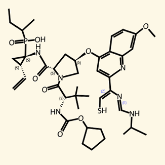 C=C[C@@H]1C[C@]1(NC(=O)[C@@H]1C[C@@H](Oc2cc(C(=C/S)/N=C/NC(C)C)nc3cc(OC)ccc23)CN1C(=O)[C@@H](NC(=O)OC1CCCC1)C(C)(C)C)P(=O)(O)C(C)CC